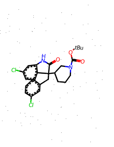 CC(C)(C)OC(=O)N1CCCC(C2(Cc3cccc(Cl)c3)C(=O)Nc3cc(Cl)ccc32)C1